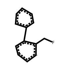 FCc1[c]cccc1-c1ccccc1